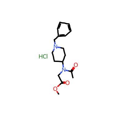 COC(=O)CN(C(C)=O)C1CCN(Cc2ccccc2)CC1.Cl